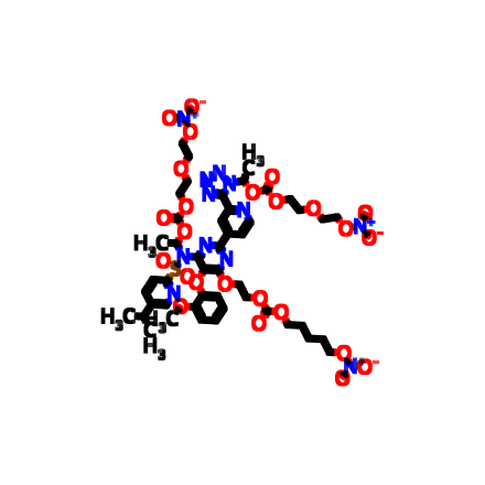 COc1ccccc1Oc1c(OCCOC(=O)OCCCCCO[N+](=O)[O-])nc(-c2ccnc(-c3nnnn3C(C)OC(=O)OCCOCCO[N+](=O)[O-])c2)nc1N(C(C)OC(=O)OCCOCCO[N+](=O)[O-])S(=O)(=O)c1ccc(C(C)C)cn1